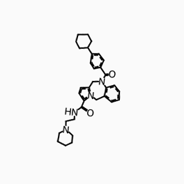 O=C(NCCN1CCCCC1)c1ccc2n1Cc1ccccc1N(C(=O)c1ccc(C3CCCCC3)cc1)C2